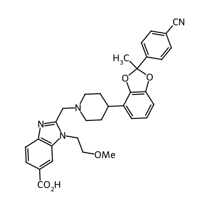 COCCn1c(CN2CCC(c3cccc4c3OC(C)(c3ccc(C#N)cc3)O4)CC2)nc2ccc(C(=O)O)cc21